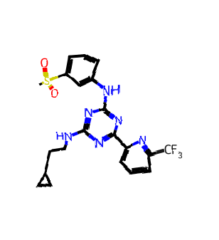 CS(=O)(=O)c1cccc(Nc2nc(NCCC3CC3)nc(-c3cccc(C(F)(F)F)n3)n2)c1